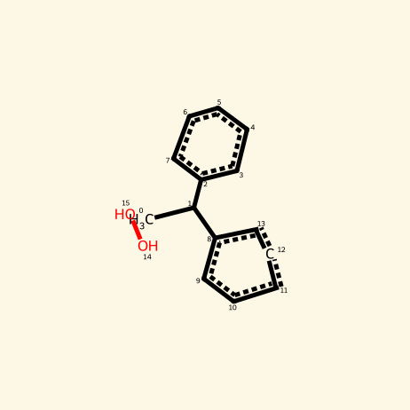 CC(c1ccccc1)c1ccccc1.OO